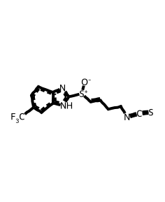 [O-][S+](C=CCCN=C=S)c1nc2ccc(C(F)(F)F)cc2[nH]1